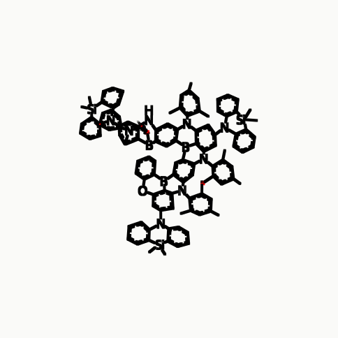 Cc1cc(C)c(N2c3cc4c(cc3B3c5ccccc5Oc5cc(N6c7ccccc7[Si](C)(C)c7ccccc76)cc2c53)B2c3cc5c(cc3N(c3c(C)cc(C)cc3C)c3cc(N6c7ccccc7[Si](C)(C)c7ccccc76)cc(c32)N4c2c(C)cc(C)cc2C)Nc2cc(N3c4ccccc4[Si](C)(C)c4ccccc43)cc3c2B5c2ccccc2N3c2ccccc2)c(C)c1